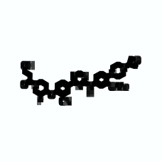 COc1cc(Nc2ncnc(-c3ccc(OC4CCN(C(=O)CCO)CC4F)c(C#N)c3)n2)ccc1N1CCN(C2COC2)CC1